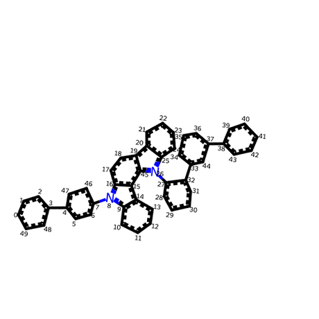 c1ccc(-c2ccc(-n3c4ccccc4c4c3ccc3c5ccccc5n(-c5ccccc5-c5cccc(-c6ccccc6)c5)c34)cc2)cc1